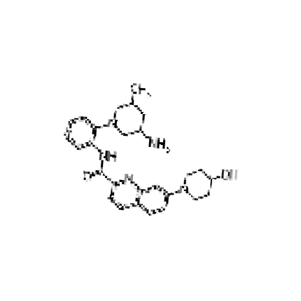 CC1CC(N)CN(c2ccncc2NC(=O)c2ccc3ccc(N4CCC(O)CC4)cc3n2)C1